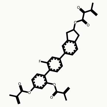 C=C(C)C(=O)Oc1ccc(-c2ccc(-c3ccc4c(c3)CC(OC(=O)C(=O)C(=C)C)C4)cc2F)c(OC(=O)C(=C)C)c1